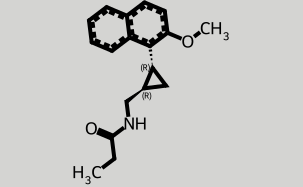 CCC(=O)NC[C@@H]1C[C@H]1c1c(OC)ccc2ccccc12